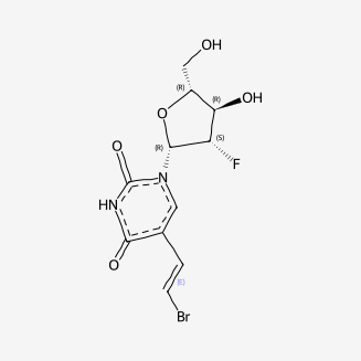 O=c1[nH]c(=O)n([C@@H]2O[C@H](CO)[C@@H](O)[C@@H]2F)cc1/C=C/Br